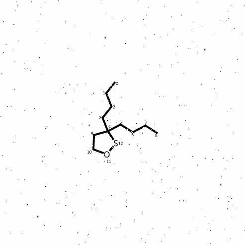 CCCCC1(CCCC)CCOS1